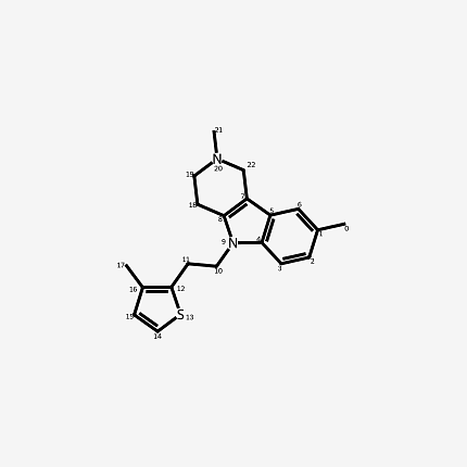 Cc1ccc2c(c1)c1c(n2CCc2sccc2C)CCN(C)C1